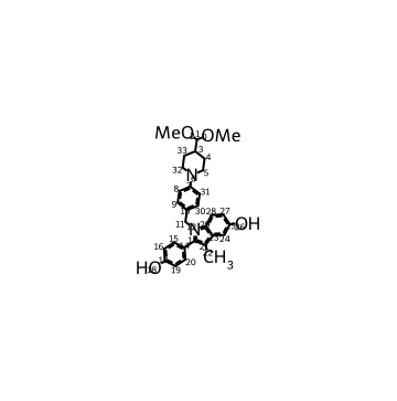 COC(OC)C1CCN(c2ccc(Cn3c(-c4ccc(O)cc4)c(C)c4cc(O)ccc43)cc2)CC1